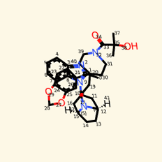 Cc1nc2ccccc2n1C1C[C@H]2CC[C@@H](C1)N2CCC1(c2ccc3c(c2)OCO3)CCN(C(=O)C(C)(C)O)CC1